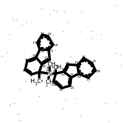 CC1([Si](C)(C)C2(C)C=CC=C3C2=Cc2ccccc23)C=CC=C2C1=Cc1ccccc12